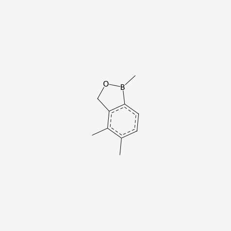 CB1OCc2c1ccc(C)c2C